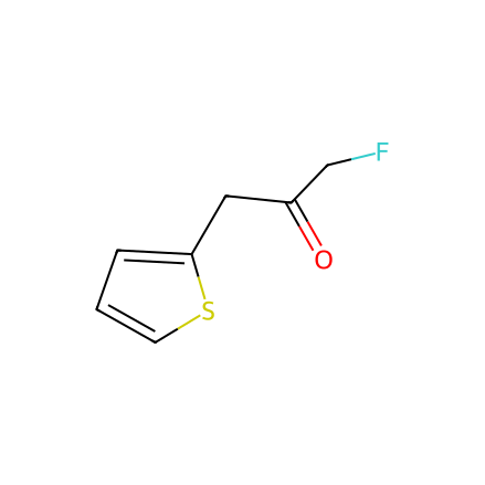 O=C(CF)Cc1cccs1